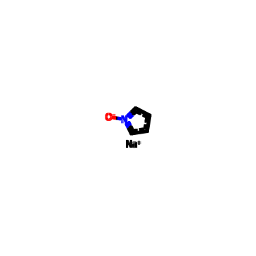 [Na+].[O-]n1cccc1